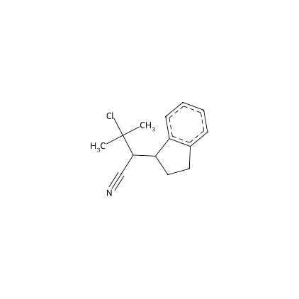 CC(C)(Cl)C(C#N)C1CCc2ccccc21